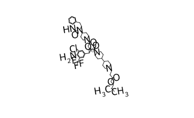 CC(C)COC(=O)CCN1CCC(C2CCN(C(=O)[C@@H](Cc3cc(Cl)c(N)c(C(F)(F)F)c3)OC(=O)N3CCC(N4CCc5ccccc5NC4=O)CC3)CC2)CC1